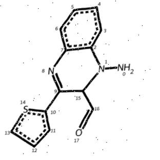 NN1c2ccccc2N=C(c2cccs2)C1C=O